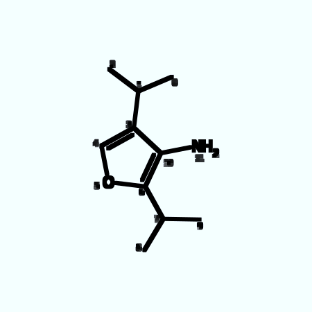 CC(C)c1coc(C(C)C)c1N